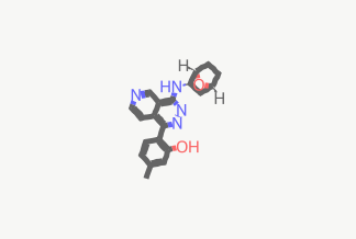 Cc1ccc(-c2nnc(N[C@H]3C[C@@H]4CC[C@H]3O4)c3cnccc23)c(O)c1